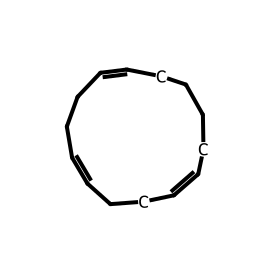 C1=CCCC=CCCCCC=CCC1